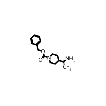 N[C@H](C1CCN(C(=O)OCc2ccccc2)CC1)C(F)(F)F